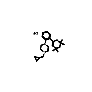 CC1(C)C=C(c2ccccc2N2CCN(CC3CC3)CC2)CC(C)(C)C1.Cl